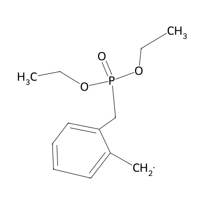 [CH2]c1ccccc1CP(=O)(OCC)OCC